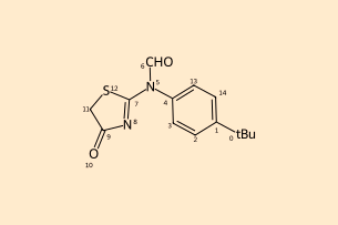 CC(C)(C)c1ccc(N(C=O)C2=NC(=O)CS2)cc1